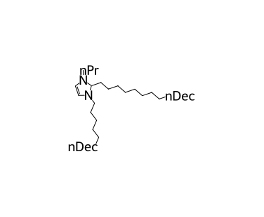 CCCCCCCCCCCCCCCCCCC1N(CCC)C=CN1CCCCCCCCCCCCCCC